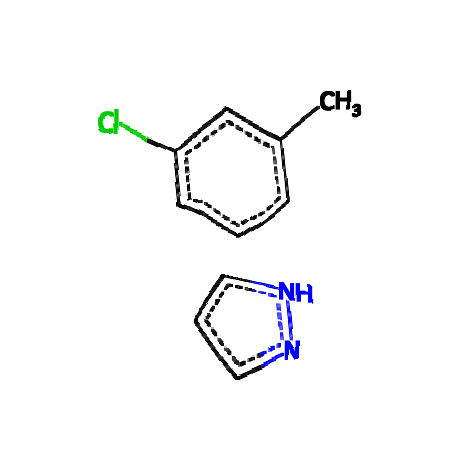 Cc1cccc(Cl)c1.c1cn[nH]c1